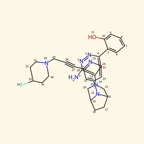 Nc1nnc(-c2ccccc2O)cc1N1CC2CCC(C1)N2c1ccnc(C#CCN2CCC(F)CC2)c1